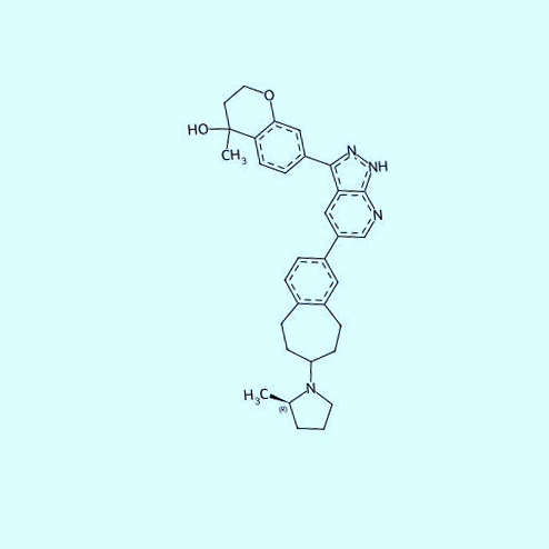 C[C@@H]1CCCN1C1CCc2ccc(-c3cnc4[nH]nc(-c5ccc6c(c5)OCCC6(C)O)c4c3)cc2CC1